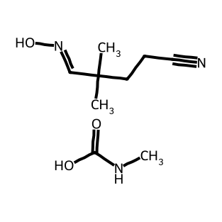 CC(C)(C=NO)CCC#N.CNC(=O)O